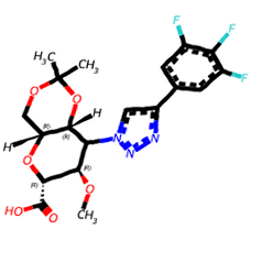 CO[C@@H]1C(n2cc(-c3cc(F)c(F)c(F)c3)nn2)[C@H]2OC(C)(C)OC[C@H]2O[C@H]1C(=O)O